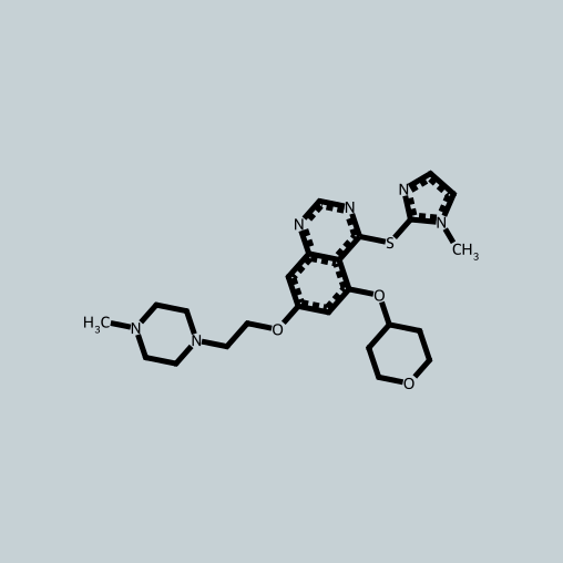 CN1CCN(CCOc2cc(OC3CCOCC3)c3c(Sc4nccn4C)ncnc3c2)CC1